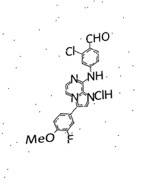 COc1ccc(-c2cnc3c(Nc4ccc(C=O)c(Cl)c4)nccn23)cc1F.Cl